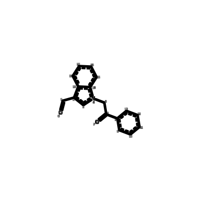 O=Cc1cn(CC(=O)c2ccccc2)c2ccccc12